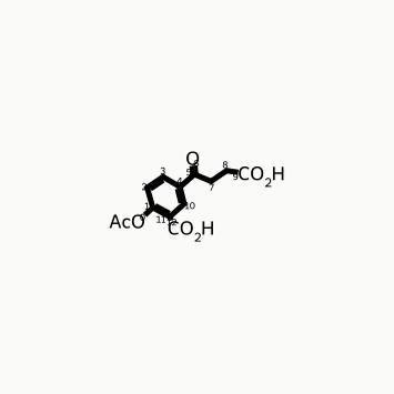 CC(=O)Oc1ccc(C(=O)CCC(=O)O)cc1C(=O)O